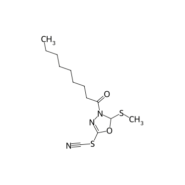 CCCCCCCCC(=O)N1N=C(SC#N)OC1SC